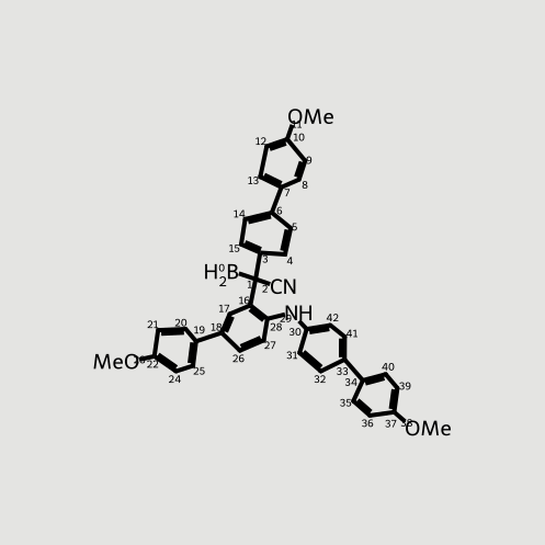 BC(C#N)(c1ccc(-c2ccc(OC)cc2)cc1)c1cc(-c2ccc(OC)cc2)ccc1Nc1ccc(-c2ccc(OC)cc2)cc1